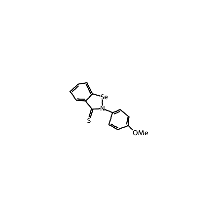 COc1ccc(-n2[se]c3ccccc3c2=S)cc1